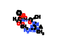 C#C[C@H]1C[C@@H](CO[P@@](=O)(N[C@H](C)C(=O)OC)Oc2ccccc2)O[C@H]1n1cnc2c(N(C)C3CC3)nc(N)nc21